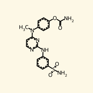 CN(c1ccc(OC(N)=O)cc1)c1ccnc(Nc2cccc(S(N)(=O)=O)c2)n1